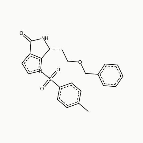 Cc1ccc(S(=O)(=O)n2ccc3c2[C@@H](CCOCc2ccccc2)NC3=O)cc1